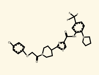 O=C(Nc1cc(C(F)(F)F)ccc1N1CCCC1)c1csc(C2CCN(C(=O)COc3ccc(Cl)cc3)CC2)n1